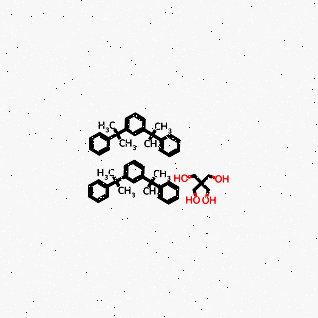 CC(C)(c1ccccc1)c1cccc(C(C)(C)c2ccccc2)c1.CC(C)(c1ccccc1)c1cccc(C(C)(C)c2ccccc2)c1.OCC(CO)(CO)CO